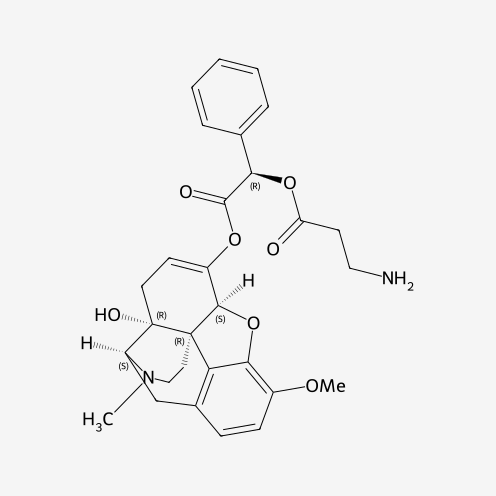 COc1ccc2c3c1O[C@@H]1C(OC(=O)[C@H](OC(=O)CCN)c4ccccc4)=CC[C@]4(O)[C@H](C2)N(C)CC[C@@]314